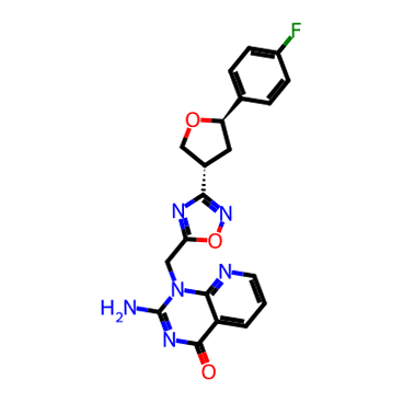 Nc1nc(=O)c2cccnc2n1Cc1nc([C@@H]2CO[C@@H](c3ccc(F)cc3)C2)no1